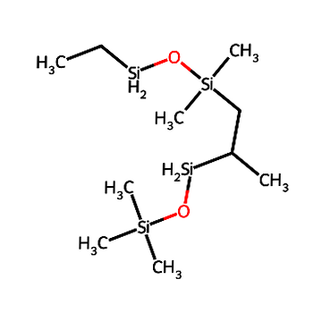 CC[SiH2]O[Si](C)(C)CC(C)[SiH2]O[Si](C)(C)C